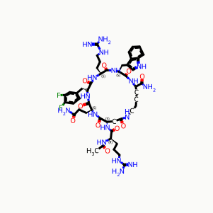 CC(=O)N[C@H](CCCNC(=N)N)C(=O)N[C@H]1CC(=O)NCCCCC(C(N)=O)NC(=O)[C@H](Cc2c[nH]c3ccccc23)NC(=O)[C@H](CCCNC(=N)N)NC(=O)[C@@H](Cc2ccc(F)c(F)c2)NC(=O)[C@H](CCC(N)=O)NC1=O